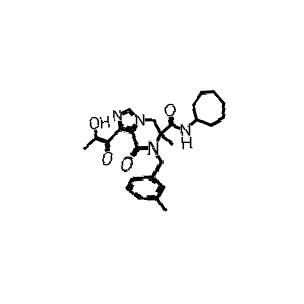 Cc1cccc(CN2C(=O)c3c(C(=O)C(C)O)ncn3CC2(C)C(=O)NC2CCCCCC2)c1